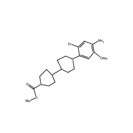 CCc1cc(N)c(OC)cc1N1CCC(C2CCN(C(=O)OC(C)(C)C)CC2)CC1